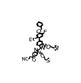 CCc1cc(OCc2ccccc2)c(F)cc1-c1ccc2c(-c3nc4c(n3COCC[Si](C)(C)C)CN(C(=O)CCC#N)C4)nn(COCC[Si](C)(C)C)c2c1